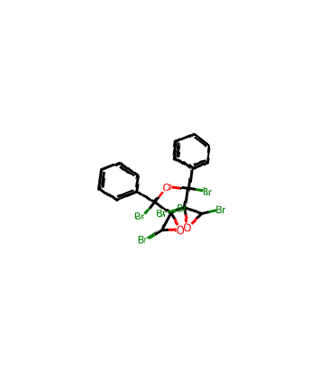 BrC1OC1(Br)C(Br)(OC(Br)(c1ccccc1)C1(Br)OC1Br)c1ccccc1